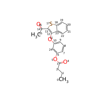 CCCC(=O)Oc1cccc(Oc2c(C(C)=O)sc3ccccc23)c1